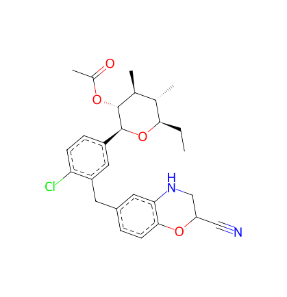 CC[C@H]1O[C@@H](c2ccc(Cl)c(Cc3ccc4c(c3)NCC(C#N)O4)c2)[C@H](OC(C)=O)[C@@H](C)[C@@H]1C